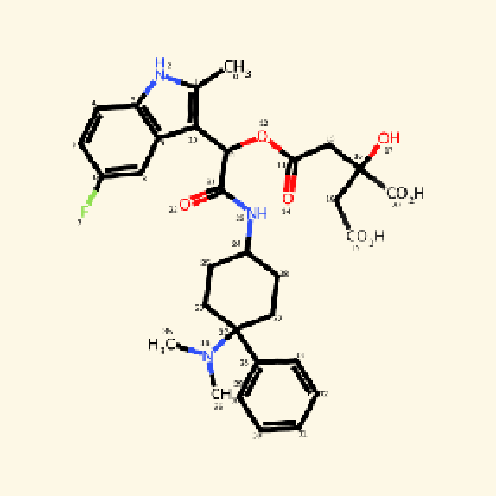 Cc1[nH]c2ccc(F)cc2c1C(OC(=O)CC(O)(CC(=O)O)C(=O)O)C(=O)NC1CCC(c2ccccc2)(N(C)C)CC1